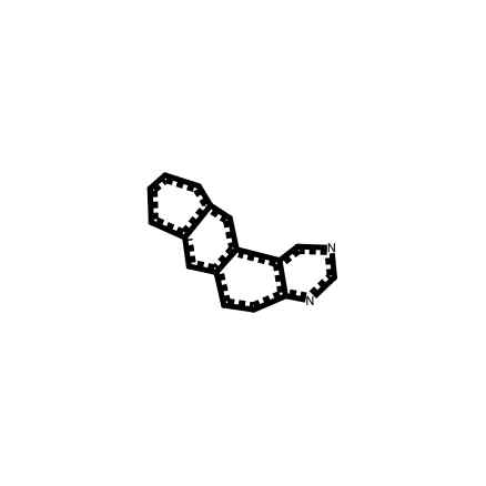 c1ccc2cc3c(ccc4ncncc43)cc2c1